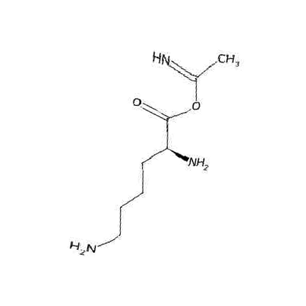 CC(=N)OC(=O)[C@@H](N)CCCCN